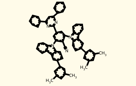 Cc1cc(C)cc(-c2ccc3c(c2)c2ccccc2n3-c2cc(-c3nc(-c4ccccc4)cc(-c4ccccc4)n3)cc(-n3c4ccccc4c4cc(-c5cc(C)cc(C)c5)ccc43)c2C#N)c1